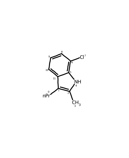 CCCc1c(C)[nH]c2c(Cl)cccc12